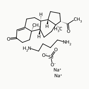 CC(=O)[C@H]1CC[C@H]2[C@@H]3CCC4=CC(=O)CC[C@]4(C)[C@H]3CC[C@]12C.NCCCCN.O=[Se]([O-])[O-].[Na+].[Na+]